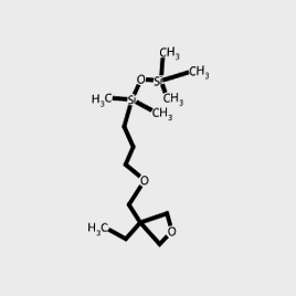 CCC1(COCCC[Si](C)(C)O[Si](C)(C)C)COC1